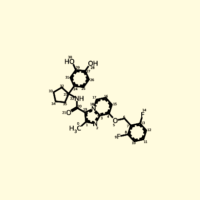 Cc1nc2c(OCc3c(F)cccc3F)cccn2c1C(=O)NC1(c2ccc(O)c(O)c2)CCCC1